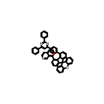 c1ccc(-c2cc(-c3ccc(-c4cccc5c4-c4c(-c6cccc7ccncc67)cccc4C54c5ccccc5Oc5ccccc54)cc3)nc(-c3ccccc3)n2)cc1